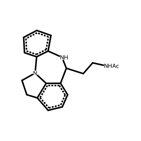 CC(=O)NCCC1Nc2ccccc2N2CCc3cccc1c32